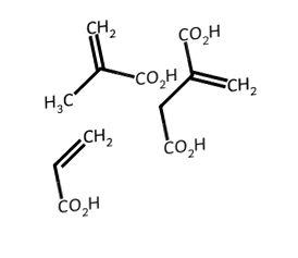 C=C(C)C(=O)O.C=C(CC(=O)O)C(=O)O.C=CC(=O)O